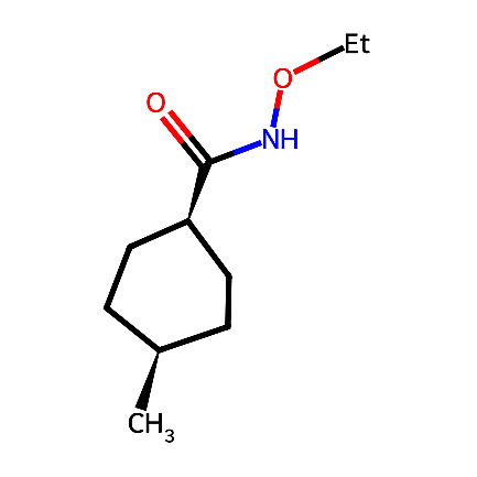 CCONC(=O)[C@H]1CC[C@@H](C)CC1